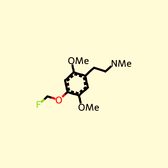 CNCCc1cc(OC)c(OCF)cc1OC